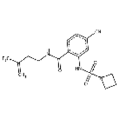 C=C(CCNC(=O)c1ccc(C#N)cc1NS(=O)(=O)N1CCC1)C(F)(F)F